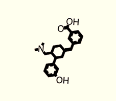 CN(C)CC1CC/C(=C\c2cccc(C(=O)O)c2)CC1c1cccc(O)c1